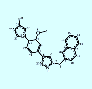 COC1C=C(c2cn(Cc3ccc4ccccc4c3)nn2)C=CC1n1cnc(C)c1